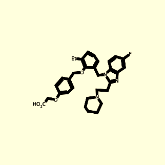 CCc1cccc(Cn2c(CCN3CCCCC3)nc3cc(F)ccc32)c1OCc1ccc(OCC(=O)O)cc1